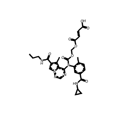 CCCNC(=O)c1cn2ncnc(N(C(=O)OCOC(=O)/C=C/C(=O)O)c3cc(C(=O)NC4CC4)ccc3C)c2c1C